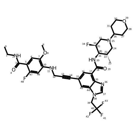 CCNC(=O)c1cc(OC)c(NCC#Cc2cc(C(=O)N[C@@H]3[C@@H](C)CN(C4CCOCC4)C[C@@H]3F)c3ncn(CC(F)(F)F)c3c2)cc1F